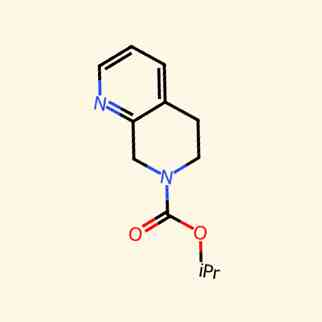 CC(C)OC(=O)N1CCc2cccnc2C1